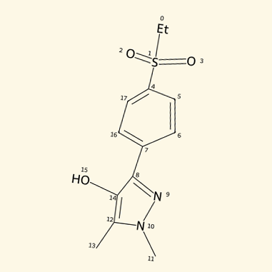 CCS(=O)(=O)c1ccc(-c2nn(C)c(C)c2O)cc1